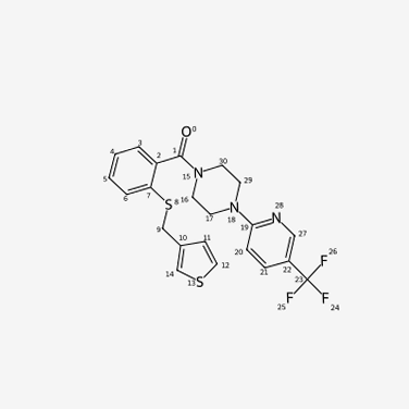 O=C(c1ccccc1SCc1ccsc1)N1CCN(c2ccc(C(F)(F)F)cn2)CC1